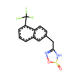 O=S1NC(Cc2ccc3c(C(F)(F)F)cccc3c2)=NO1